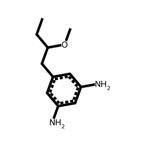 CCC(Cc1cc(N)cc(N)c1)OC